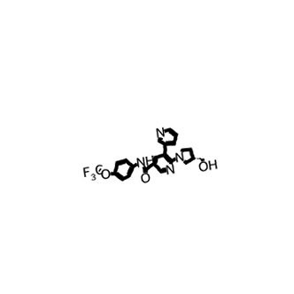 O=C(Nc1ccc(OC(F)(F)F)cc1)c1cnc(N2CC[C@H](CO)C2)c(-c2cccnc2)c1